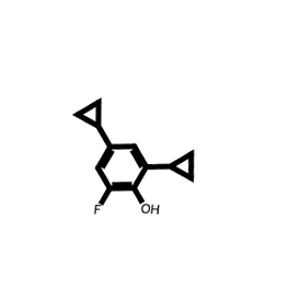 Oc1c(F)cc(C2CC2)cc1C1CC1